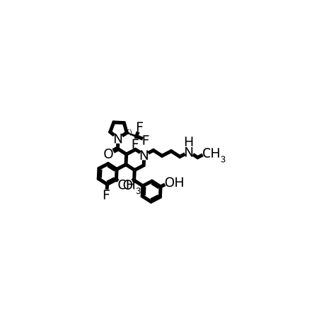 CCNCCCCN1CC(C(=O)c2cccc(O)c2)C(c2cccc(F)c2C)C(C(=O)N2CCC[C@H]2C(F)(F)F)C1